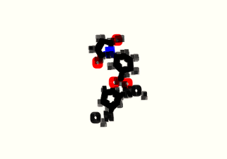 O=C(Oc1ccc([N+](=O)[O-])cc1[N+](=O)[O-])c1cccc(N2C(=O)C=CC2=O)c1